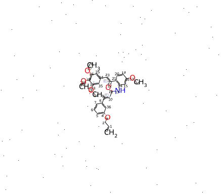 C=CCOc1cccc(/C=C/C(=O)Nc2cc(OC)ccc2/C=C/c2cc(OC)c(OC)c(OC)c2)c1